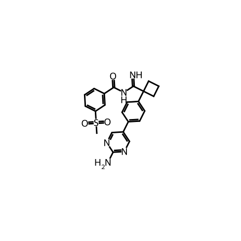 CS(=O)(=O)c1cccc(C(=O)NC(=N)C2(c3ccc(-c4cnc(N)nc4)cc3)CCC2)c1